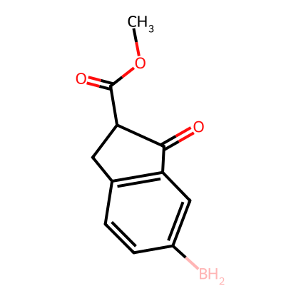 Bc1ccc2c(c1)C(=O)C(C(=O)OC)C2